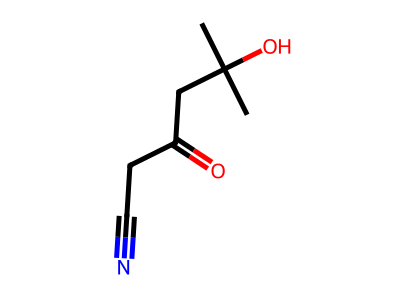 CC(C)(O)CC(=O)CC#N